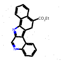 CCOC(=O)C1=c2ccccc2=C2N=c3cnc4ccccc4c3=C2C1